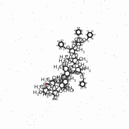 CCC1O[C@@H](OC2[C@H](O[C@H]3CCC4(C)C5CC=C6C7CC(C)(C)CC[C@]7(C(=O)O[C@@H]7OC(COCc8ccccc8)[C@H](N)C(C)C7O[C@@H]7OC(C)[C@H](O[C@@H]8OC[C@@H](OCc9ccccc9)C(O[C@@H]9OCC%10(COCc%11ccccc%11)O[C@@H](c%11ccccc%11)O[C@H]9%10)C8C)C8OC(C)(C)OC87)C(OC)C[C@@]6(C)[C@@]5(C)CC[C@H]4[C@@]3(C)C=O)OC(C(C)=O)[C@@H](C)[C@@H]2O[C@@H]2OC[C@@H](C)[C@H](C)C2C)C(C)[C@@H](C)[C@H]1C